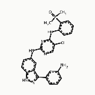 CP(C)(=O)c1ccccc1Nc1nc(Nc2ccc3[nH]nc(-c4cccc(N)c4)c3c2)ncc1Cl